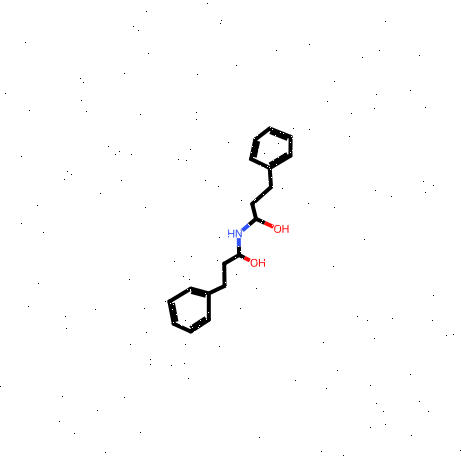 OC(CCc1ccccc1)NC(O)CCc1ccccc1